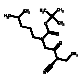 CCN(C#N)C(=O)CN(CCCC(C)C)C(=O)OC(C)(C)C